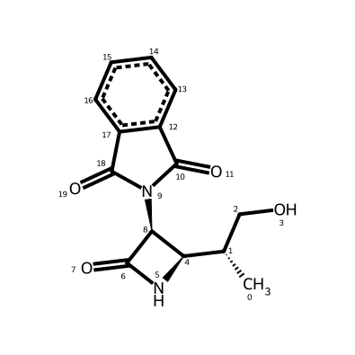 C[C@@H](CO)[C@H]1NC(=O)[C@H]1N1C(=O)c2ccccc2C1=O